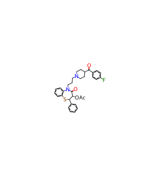 CC(=O)OC1C(=O)N(CCCN2CCC(C(=O)c3ccc(F)cc3)CC2)c2ccccc2SC1c1ccccc1